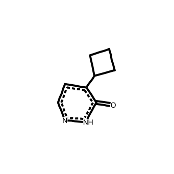 O=c1[nH]nccc1C1CCC1